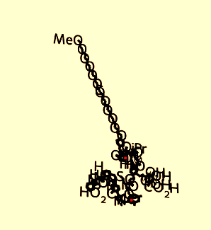 COCCOCCOCCOCCOCCOCCOCCOCCOCCOCCOCCOc1ccc(C[C@@H](C(=O)N[C@H](C(=O)N[C@@H](C)C(=O)Nc2ccc(COC(=O)N(CCOC34CC5(C)CC(C)(CC(Cn6ncc(-c7ccc(N8CCc9cccc(C(=O)Nc%10nc%11ccccc%11s%10)c9C8)nc7C(=O)O)c6C)(C5)C3)C4)CCS(=O)(=O)O)c(CC[C@@H]3O[C@H](C(=O)O)[C@H](O)[C@@H](O)[C@H]3O)c2)C(C)C)N2C(=O)C=CC2=O)cc1